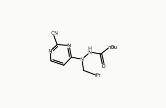 CCCCC(=O)NN(CC(C)C)c1ccnc(C#N)n1